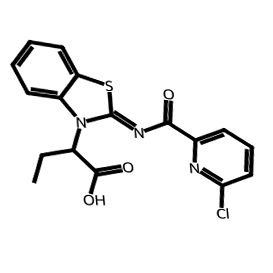 CCC(C(=O)O)n1c(=NC(=O)c2cccc(Cl)n2)sc2ccccc21